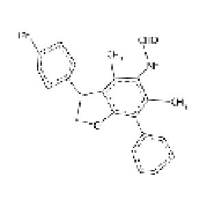 Cc1c(NC=O)c(C)c2c(c1-c1ccccc1)OCC2c1ccc(C(C)C)cc1